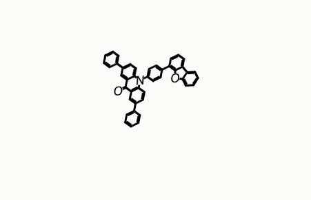 O=c1c2cc(-c3ccccc3)ccc2n(-c2ccc(-c3cccc4c3oc3ccccc34)cc2)c2ccc(-c3ccccc3)cc12